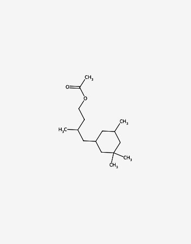 CC(=O)OCCC(C)CC1CC(C)CC(C)(C)C1